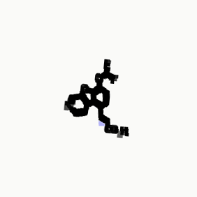 O=C(O)/C=C/c1ccc(OC(F)F)c2oc3cnccc3c12